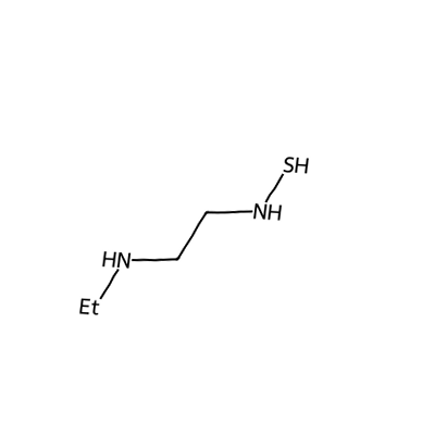 CCNCCNS